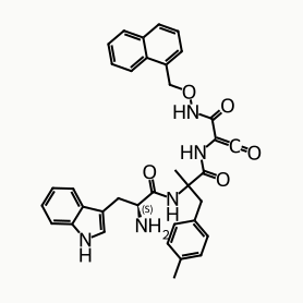 Cc1ccc(CC(C)(NC(=O)[C@@H](N)Cc2c[nH]c3ccccc23)C(=O)NC(=C=O)C(=O)NOCc2cccc3ccccc23)cc1